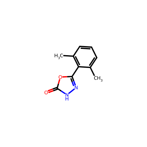 Cc1cccc(C)c1-c1n[nH]c(=O)o1